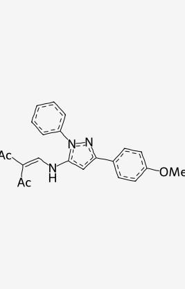 COc1ccc(-c2cc(NC=C(C(C)=O)C(C)=O)n(-c3ccccc3)n2)cc1